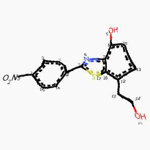 O=[N+]([O-])c1ccc(-c2nc3c(O)ccc(CCO)c3s2)cc1